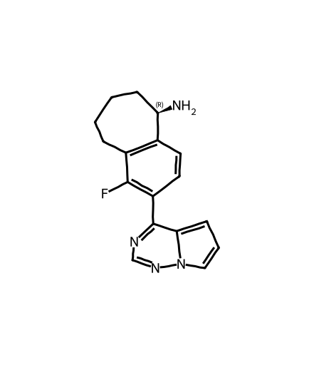 N[C@@H]1CCCCc2c1ccc(-c1ncnn3cccc13)c2F